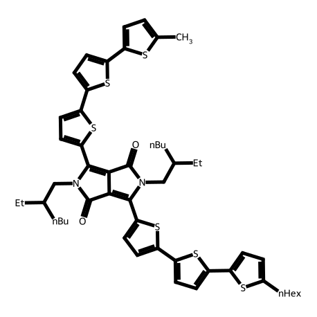 CCCCCCc1ccc(-c2ccc(-c3ccc(C4=C5C(=O)N(CC(CC)CCCC)C(c6ccc(-c7ccc(-c8ccc(C)s8)s7)s6)=C5C(=O)N4CC(CC)CCCC)s3)s2)s1